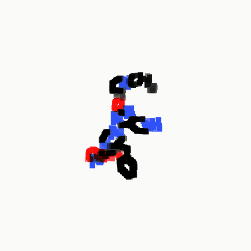 CN1CCC[C@H]1COc1nc2c(c(N3CCN(C(=O)O)[C@](CC#N)(Cc4ccccc4)C3)n1)CCNC2